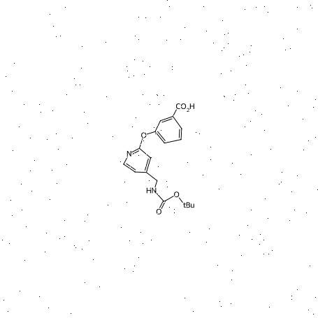 CC(C)(C)OC(=O)NCc1ccnc(Oc2cccc(C(=O)O)c2)c1